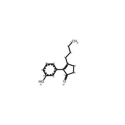 CCCCC1=C(c2cccc(O)c2)C(=O)CC1